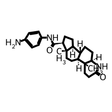 C[C@]12CCC(=O)N[C@@H]1CC[C@@H]1[C@@H]2CC[C@]2(C)[C@@H](C(=O)Nc3ccc(N)cc3)CC[C@@H]12